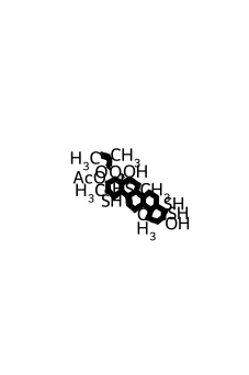 C/C=C(/C)C(=O)O[C@H]1[C@H](OC(C)=O)[C@@](C)(S)CC2C3=CCC4[C@@]5(C)CC[C@H](O)C(S)(S)C5CC[C@@]4(C)[C@]3(S)CC[C@]21CO